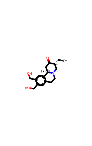 CC(C)C[C@@H]1CN2CCc3cc(CO)c(CO)cc3[C@H]2CC1=O